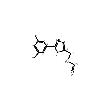 Cc1cc(C)cc(-c2ncc(CO[C]=O)s2)c1